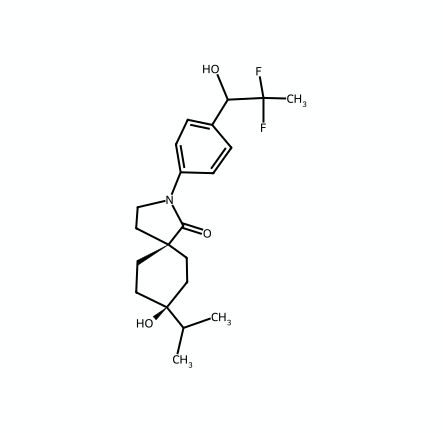 CC(C)[C@]1(O)CC[C@]2(CCN(c3ccc(C(O)C(C)(F)F)cc3)C2=O)CC1